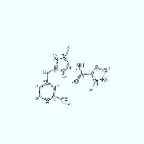 Cc1nocc1C(=O)Nc1sc(Cc2cccc(C(F)(F)F)c2)nc1C